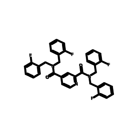 O=C(c1ccnc(C(=O)N(Cc2ccccc2F)Cc2ccccc2F)c1)N(Cc1ccccc1F)Cc1ccccc1F